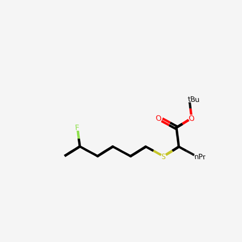 CCCC(SCCCCC(C)F)C(=O)OC(C)(C)C